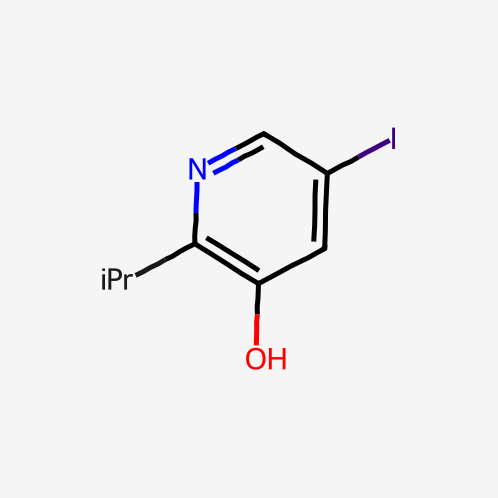 CC(C)c1ncc(I)cc1O